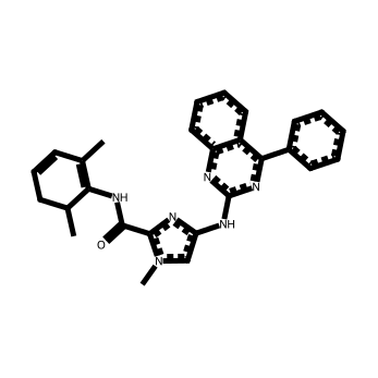 CC1=C(NC(=O)c2nc(Nc3nc(-c4ccccc4)c4ccccc4n3)cn2C)C(C)CC=C1